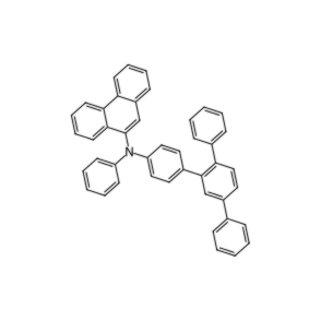 c1ccc(-c2ccc(-c3ccccc3)c(-c3ccc(N(c4ccccc4)c4cc5ccccc5c5ccccc45)cc3)c2)cc1